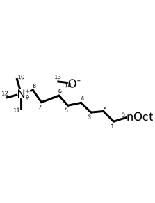 CCCCCCCCCCCCCCCC[N+](C)(C)C.C[O-]